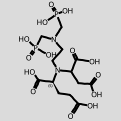 O=C(O)CC[C@@H](C(=O)O)N(CCN(CP(=O)(O)O)CP(=O)(O)O)C(CC(=O)O)C(=O)O